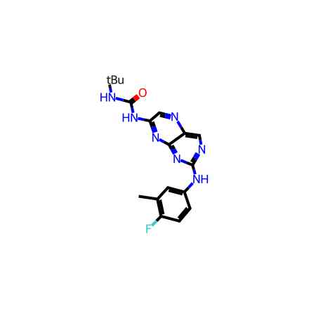 Cc1cc(Nc2ncc3ncc(NC(=O)NC(C)(C)C)nc3n2)ccc1F